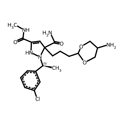 CNC(=O)C1=CC(CCCC2OCC(N)CO2)(C(N)=O)N([C@@H](C)c2cccc(Cl)c2)N1